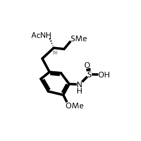 COc1ccc(C[C@@H](CSC)NC(C)=O)cc1NS(=O)O